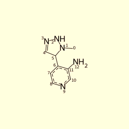 CN1NN=CC1c1ccncc1N